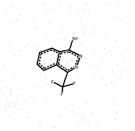 FC(F)(F)c1nnc(S)c2ccccc12